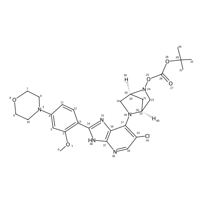 COc1cc(N2CCOCC2)ccc1-c1nc2c(N3C[C@@H]4C[C@H]3CN4OC(=O)OC(C)(C)C)c(Cl)cnc2[nH]1